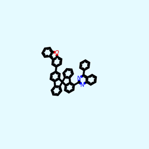 c1ccc(-c2nc(-c3cccc4c3-c3ccccc3C43c4ccccc4-c4ccc(-c5ccc6oc7ccccc7c6c5)cc43)nc3ccccc23)cc1